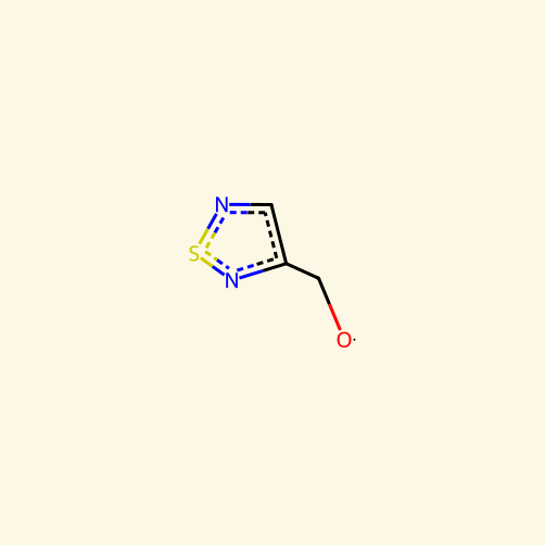 [O]Cc1cnsn1